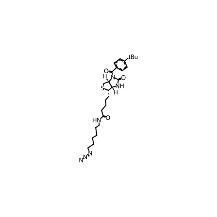 CC(C)(C)c1ccc(C(=O)N2C(=O)N[C@@H]3[C@H](CCCCC(=O)NCCCCCCN=[N+]=[N-])SC[C@@H]32)cc1